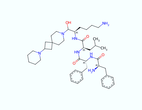 CC(C)C[C@@H](NC(=O)[C@@H](Cc1ccccc1)NC(=O)[C@H](N)Cc1ccccc1)C(=O)N[C@H](CCCCN)C(O)N1CCC2(CC1)CC(N1CCCCC1)C2